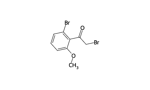 COc1cccc(Br)c1C(=O)CBr